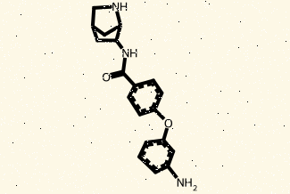 Nc1cccc(Oc2ccc(C(=O)NC3CC4CNC3C4)cc2)c1